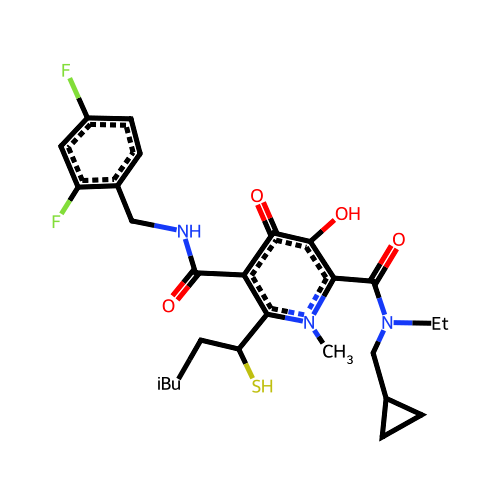 CCC(C)CC(S)c1c(C(=O)NCc2ccc(F)cc2F)c(=O)c(O)c(C(=O)N(CC)CC2CC2)n1C